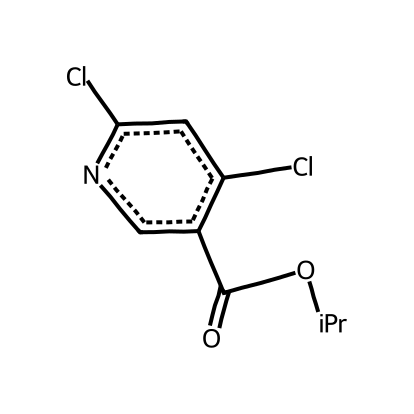 CC(C)OC(=O)c1cnc(Cl)cc1Cl